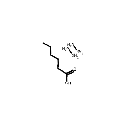 CCCCCC(=O)O.NN.NN